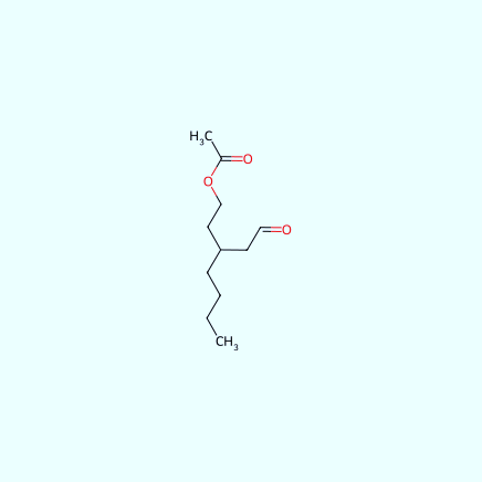 CCCCC(CC=O)CCOC(C)=O